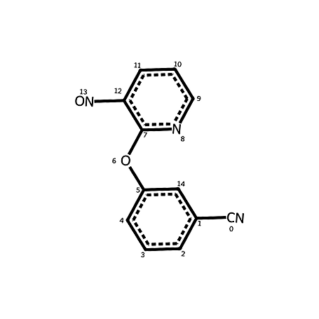 N#Cc1cccc(Oc2ncccc2N=O)c1